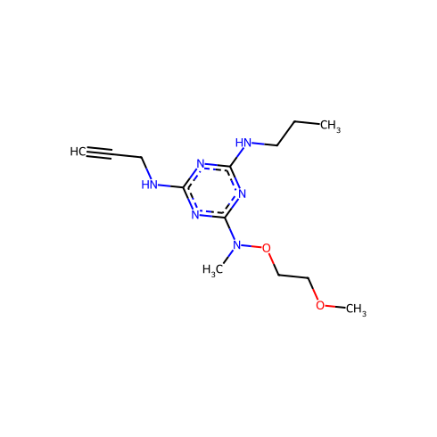 C#CCNc1nc(NCCC)nc(N(C)OCCOC)n1